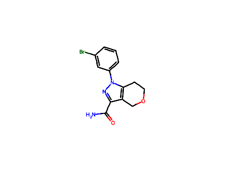 NC(=O)c1nn(-c2cccc(Br)c2)c2c1COCC2